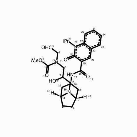 COC(=O)N(CC=O)CC(O)CN1[C@@H]2CC[C@H]1C[C@H](NC(=O)c1cc3ccccc3n(C(C)C)c1=O)C2